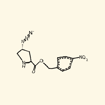 [N-]=[N+]=N[C@H]1CNC(C(=O)OCc2ccc([N+](=O)[O-])cc2)C1